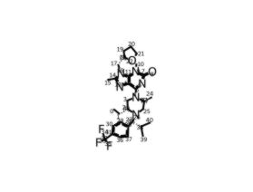 CC[C@@H]1CN(c2nc(=O)n(C)c3c2nc(C)n3C[C@@H]2CCCO2)[C@@H](C)CN1[C@@H](c1ccc(C(F)(F)F)cc1)C(C)C